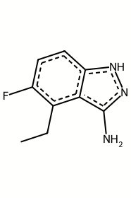 CCc1c(F)ccc2[nH]nc(N)c12